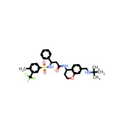 Cc1ccc(S(=O)(=O)NC(CC(=O)NC2CCOc3cc(CNC(C)(C)C)ccc32)c2ccccc2)cc1C(F)(F)F